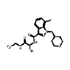 CC(C)(C)C(NC(=O)c1nn(CC2CCOCC2)c2c(F)cccc12)C(=O)NCC(F)(F)F